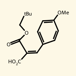 COc1ccc(C=C(C(=O)O)C(=O)OCC(C)(C)C)cc1